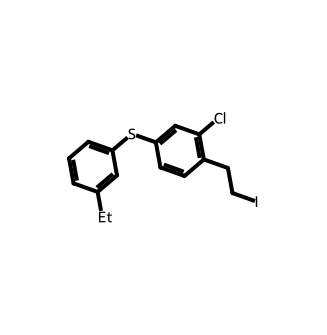 CCc1cccc(Sc2ccc(CCI)c(Cl)c2)c1